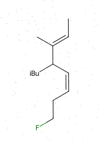 C/C=C(\C)C(/C=C\CCF)C(C)CC